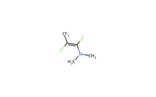 CN(C)/C(F)=C(\F)C(F)(F)F